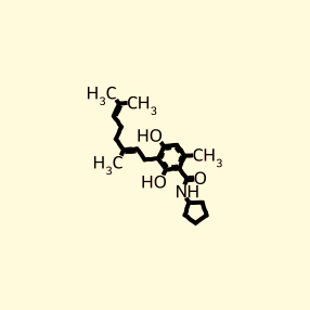 CC(C)=CCC/C(C)=C/Cc1c(O)cc(C)c(C(=O)NC2CCCC2)c1O